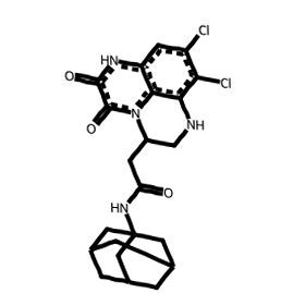 O=C(CC1CNc2c(Cl)c(Cl)cc3[nH]c(=O)c(=O)n1c23)NC12CC3CC(CC(C3)C1)C2